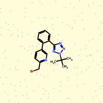 CC(C)(C)n1nnc(-c2ccccc2-c2ccc(CBr)nc2)n1